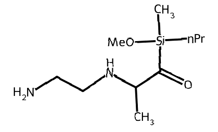 CCC[Si](C)(OC)C(=O)C(C)NCCN